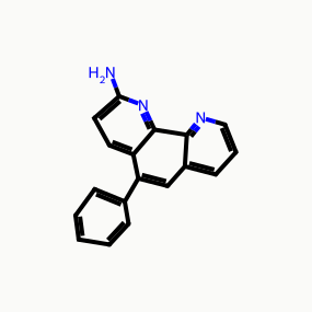 Nc1ccc2c(-c3ccccc3)cc3cccnc3c2n1